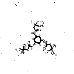 CCC(C)(C)CC(=O)Nc1cc(NC(=O)CC(C)(C)CC)cc(NC(=O)CC(C)(C)CC)c1